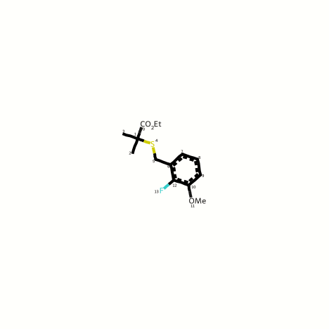 CCOC(=O)C(C)(C)SCc1cccc(OC)c1F